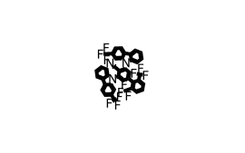 N#Cc1c(-n2c3ccccc3c3ccc(C(F)(F)F)cc32)cc(-c2c(C(F)(F)F)cccc2C(F)(F)F)cc1-n1c2ccccc2c2ccc(C(F)(F)F)cc21